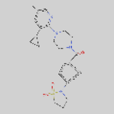 Cc1cnc(N2CCN(C(=O)c3ccc(N4CCCS4(=O)=O)cc3)CC2)c(C2CC2)c1